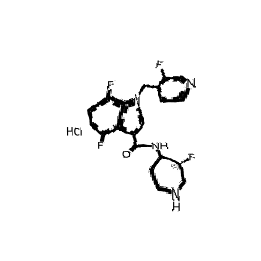 Cl.O=C(NC1CCNC[C@@H]1F)c1cn(Cc2ccncc2F)c2c(F)ccc(F)c12